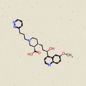 COc1ccc2nccc([C@H](O)CC[C@@H]3CCN(CCCc4cccnn4)C[C@@H]3C(=O)O)c2c1